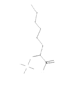 CCCCCCC([O][Ti]([OH])([OH])[OH])C(=O)O